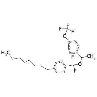 CCCCCCCCc1ccc(C(F)(F)OC(C)c2ccc(OC(F)(F)F)cc2)cc1